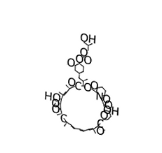 CO[C@H]1CC2CC[C@@H](C)[C@@](O)(O2)C(=O)C(=O)N2CCCCC2C(=O)O[C@H]([C@H](C)C[C@@H]2CC[C@@H](OC(=O)OCC(C)CO)[C@H](OC)C2)CC(=O)[C@H](C)/C=C(\C)[C@@H](O)[C@@H](OC)C(=O)[C@H](C)C[C@H](C)/C=C/C=C/C=C/1C